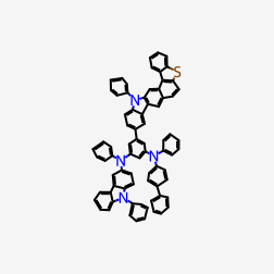 c1ccc(-c2ccc(N(c3ccccc3)c3cc(-c4ccc5c(c4)c4cc6ccc7sc8ccccc8c7c6cc4n5-c4ccccc4)cc(N(c4ccccc4)c4ccc5c(c4)c4ccccc4n5-c4ccccc4)c3)cc2)cc1